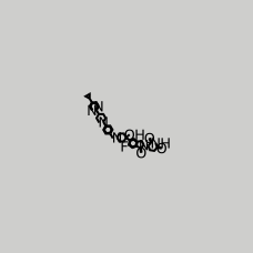 O=C1CCC(N2Cc3cc(C4(O)CCN(Cc5ccc(N6CCC(c7ncc(C8CC8)cn7)CC6)cc5)CC4)c(F)cc3C2=O)C(=O)N1